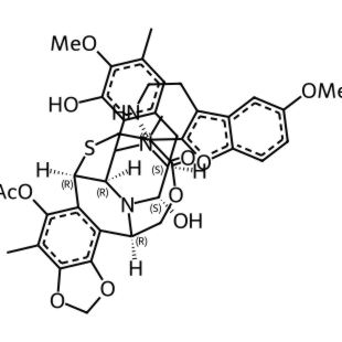 COc1ccc2oc3c(c2c1)CCN[C@]31CS[C@@H]2c3c(OC(C)=O)c(C)c4c(c3[C@H](COC1=O)N1[C@@H]2C2c3c(cc(C)c(OC)c3O)C[C@@H]([C@@H]1O)N2C)OCO4